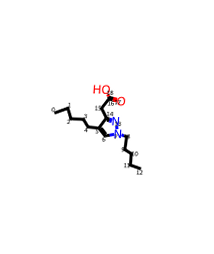 CCCCCc1cn(CCCCC)nc1CC(=O)O